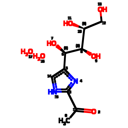 CC(=O)c1nc([C@@H](O)[C@H](O)[C@H](O)CO)c[nH]1.O.O